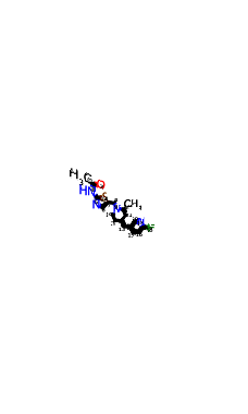 CC(=O)Nc1ncc(CN2CC/C(=C/c3ccc(F)nc3)C[C@@H]2C)s1